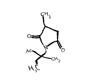 CC(=O)C(C)(C)N1C(=O)CC(C)C1=O